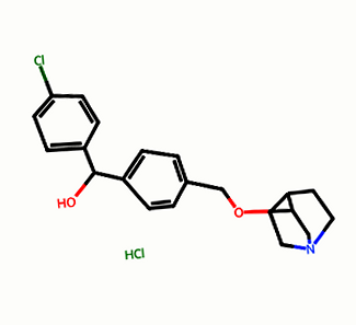 Cl.OC(c1ccc(Cl)cc1)c1ccc(COC2CN3CCC2CC3)cc1